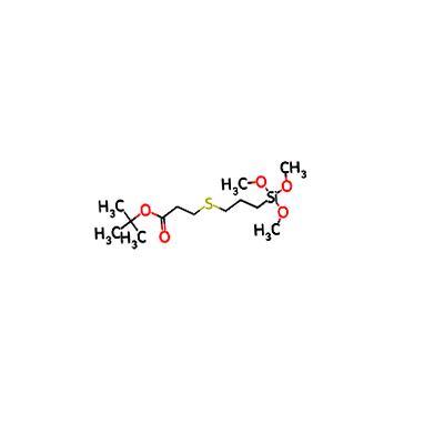 CO[Si](CCCSCCC(=O)OC(C)(C)C)(OC)OC